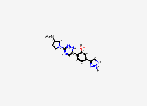 CNC1CCN(c2ncc(-c3ccc(-c4cnn(C)n4)cc3O)nn2)C1